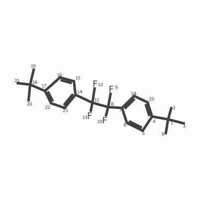 CC(C)(C)c1ccc(C(F)(F)C(F)(F)c2ccc(C(C)(C)C)cc2)cc1